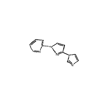 c1ccc(-n2ccc(-n3ccnc3)n2)nc1